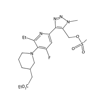 CCOC(=O)CC1CCCN(c2c(F)cc(-c3nnn(C)c3COS(C)(=O)=O)nc2CC)C1